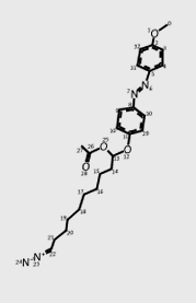 COc1ccc(N=Nc2ccc(OC(CCCCCCCCC=[N+]=[N-])OC(C)=O)cc2)cc1